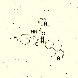 Cc1ccnc(C)c1-c1ccc(NC(=O)[C@@H](NC(=O)c2ccnn2C)[C@H]2CCC[C@@H](F)CC2)cc1